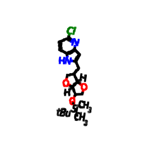 CC(C)(C)[Si](C)(C)OC1CO[C@@H]2C(Cc3cc4nc(Cl)ccc4[nH]3)CO[C@H]12